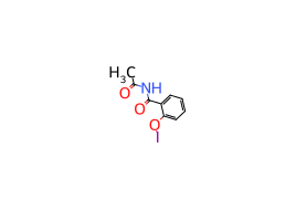 CC(=O)NC(=O)c1ccccc1OI